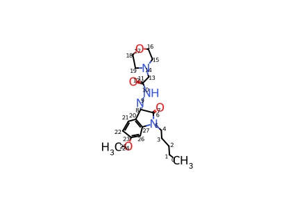 CCCCCN1C(=O)C(=NNC(=O)CN2CCOCC2)c2ccc(OC)cc21